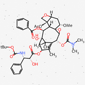 CO[C@H]1C[C@H]2OC[C@@]2(OC(C)=O)[C@H]2[C@H](OC(=O)c3ccccc3)[C@]3(O)C[C@H](OC(=O)[C@H](O)[C@@H](NC(=O)OC(C)(C)C)c4ccccc4)C(C)=C([C@@H](OC(=O)N(C)C)C4O[C@@]412)C3(C)C